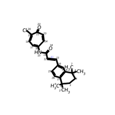 CC1(C)CCC(C)(C)c2cc(/C=C/C(=O)Nc3ccc(Cl)c(=O)cc3)ccc21